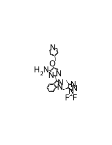 Cc1nnn(C(F)F)c1Cn1nc(-c2ncc(OCc3ccncc3)c(N)n2)c2ccccc21